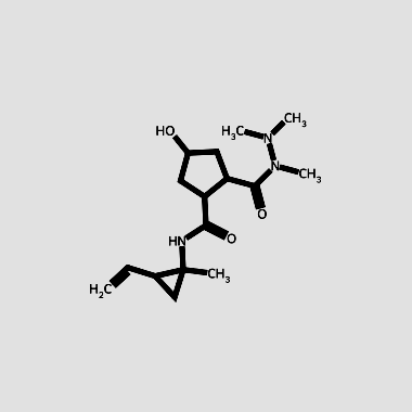 C=CC1CC1(C)NC(=O)C1CC(O)CC1C(=O)N(C)N(C)C